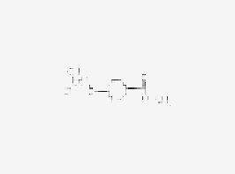 COC(=O)c1ccc(OC[C@H](C)Cl)cc1